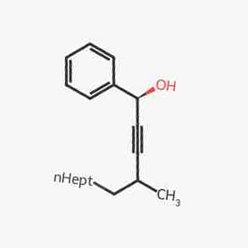 CCCCCCCCC(C)C#C[C@H](O)c1ccccc1